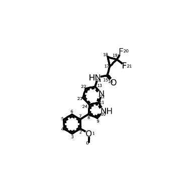 COc1ccccc1-c1c[nH]c2nc(NC(=O)C3CC3(F)F)ccc12